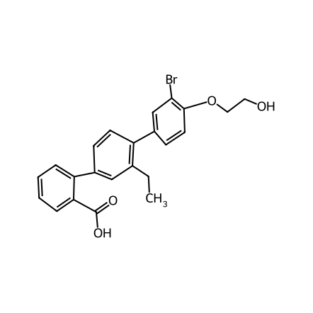 CCc1cc(-c2ccccc2C(=O)O)ccc1-c1ccc(OCCO)c(Br)c1